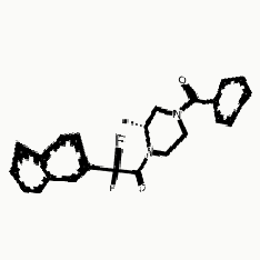 C[C@@H]1CN(C(=O)c2ccccc2)CCN1C(=O)C(F)(F)c1ccc2ccccc2c1